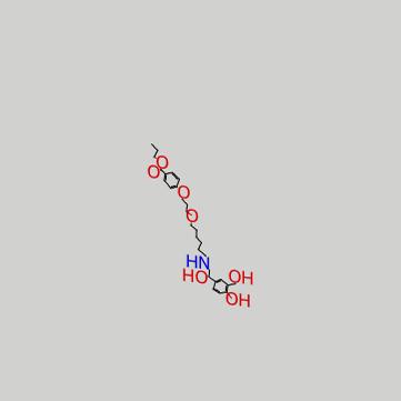 CCCOC(=O)c1ccc(OCCCOCCCCCCNCC(O)c2ccc(O)c(CO)c2)cc1